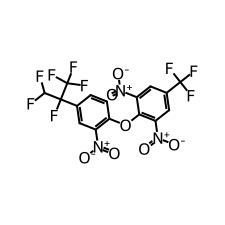 O=[N+]([O-])c1cc(C(F)(C(F)F)C(F)(F)F)ccc1Oc1c([N+](=O)[O-])cc(C(F)(F)F)cc1[N+](=O)[O-]